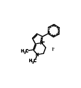 CC1=C2C=CC(c3ccccc3)=[N+]2CCN1C.[I-]